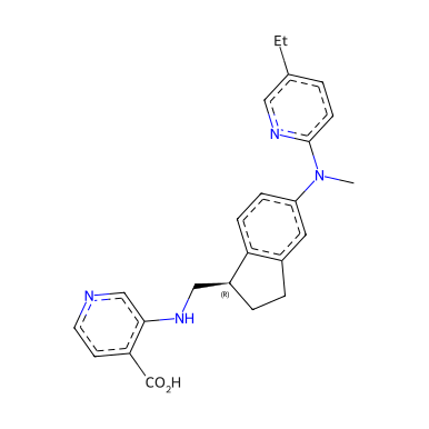 CCc1ccc(N(C)c2ccc3c(c2)CC[C@H]3CNc2cnccc2C(=O)O)nc1